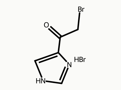 Br.O=C(CBr)c1c[nH]cn1